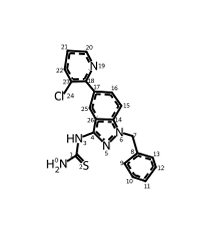 NC(=S)Nc1nn(Cc2ccccc2)c2ccc(-c3ncccc3Cl)cc12